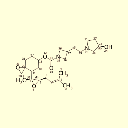 CC(C)=CC[C@H]1O[C@]1(C)C1CC(OC(=O)N2CC(CCN3CC[C@@H](O)C3)C2)CCC12CO2